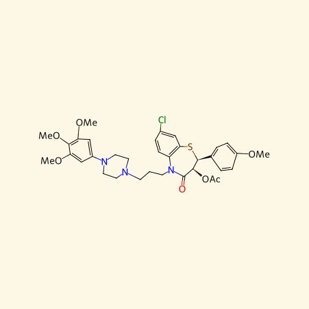 COc1ccc([C@@H]2Sc3cc(Cl)ccc3N(CCCN3CCN(c4cc(OC)c(OC)c(OC)c4)CC3)C(=O)[C@@H]2OC(C)=O)cc1